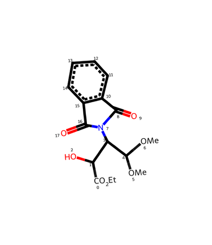 CCOC(=O)C(O)C(C(OC)OC)N1C(=O)c2ccccc2C1=O